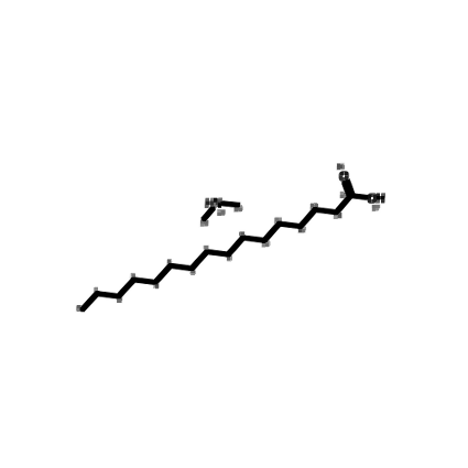 CCCCCCCCCCCCCCCC(=O)O.CNC